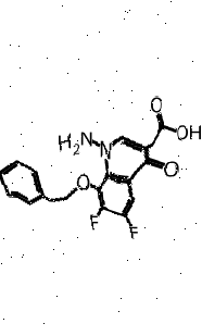 Nn1cc(C(=O)O)c(=O)c2cc(F)c(F)c(OCc3ccccc3)c21